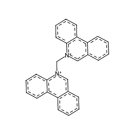 c1ccc2c(c1)c[n+](C[n+]1cc3ccccc3c3ccccc31)c1ccccc21